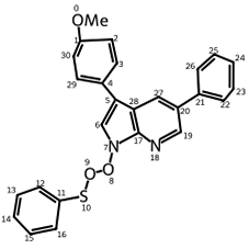 COc1ccc(-c2cn(OOSc3ccccc3)c3ncc(-c4ccccc4)cc23)cc1